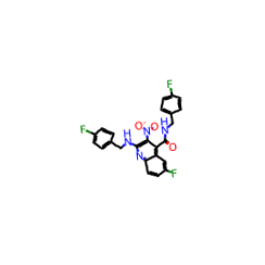 O=C(NCc1ccc(F)cc1)c1c([N+](=O)[O-])c(NCc2ccc(F)cc2)nc2ccc(F)cc12